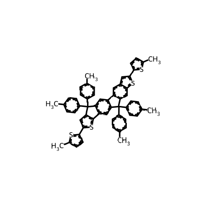 Cc1ccc(C2(c3ccc(C)cc3)c3cc4c(cc3-c3cc5cc(-c6ccc(C)s6)sc5cc32)C(c2ccc(C)cc2)(c2ccc(C)cc2)c2cc(-c3ccc(C)s3)sc2-4)cc1